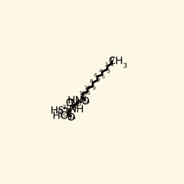 CCCCCCCCCCCCCC(=O)NCC(=O)N[C@@H](CS)C(=O)O